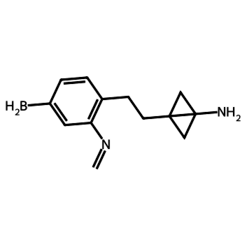 Bc1ccc(CCC23CC2(N)C3)c(N=C)c1